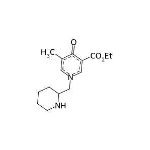 CCOC(=O)c1cn(CC2CCCCN2)cc(C)c1=O